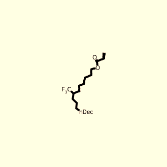 C=CC(=O)OCCCCCCC(CCCCCCCCCCCCC)C(F)(F)F